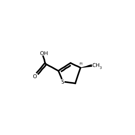 C[C@@H]1C=C(C(=O)O)SC1